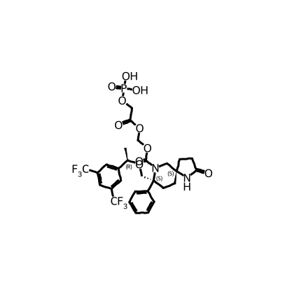 C[C@@H](OC[C@@]1(c2ccccc2)CC[C@]2(CCC(=O)N2)CN1C(=O)OCOC(=O)COP(=O)(O)O)c1cc(C(F)(F)F)cc(C(F)(F)F)c1